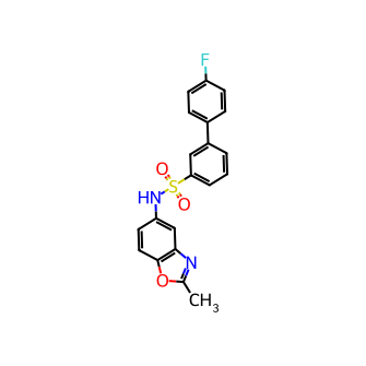 Cc1nc2cc(NS(=O)(=O)c3cccc(-c4ccc(F)cc4)c3)ccc2o1